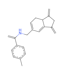 C=C1CC(=C)C2CC=C(CNC(=C)c3ccc(C)cc3)C=C12